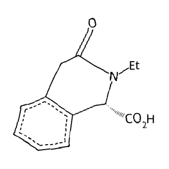 CCN1C(=O)Cc2ccccc2[C@H]1C(=O)O